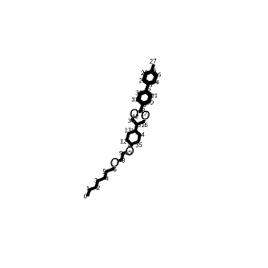 CCCCCCCOCCOC1CCC(C2COC(c3ccc(-c4ccc(C)cc4)cc3)OC2)CC1